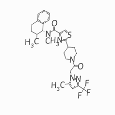 Cc1cc(C(F)(F)F)nn1CC(=O)N1CCC(c2nc(C(=O)N(C)[C@H]3c4ccccc4CCC3C)cs2)CC1